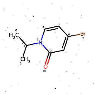 CC(C)n1ccc(Br)cc1=O